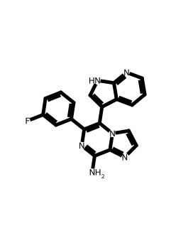 Nc1nc(-c2cccc(F)c2)c(-c2c[nH]c3ncccc23)n2ccnc12